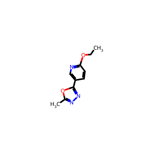 CCOc1ccc(-c2nnc(C)o2)cn1